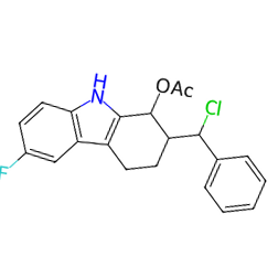 CC(=O)OC1c2[nH]c3ccc(F)cc3c2CCC1C(Cl)c1ccccc1